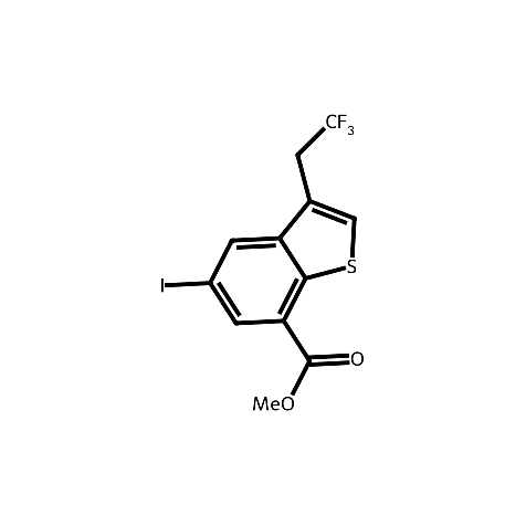 COC(=O)c1cc(I)cc2c(CC(F)(F)F)csc12